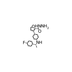 C[C@H](Nc1ccc(-c2ccoc2C(=O)NN)cc1)c1ccc(F)cc1